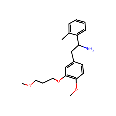 COCCCOc1cc(CC(N)c2ccccc2C)ccc1OC